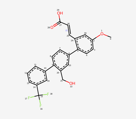 COc1ccc(-c2ccc(-c3cccc(C(F)(F)F)c3)c(CO)c2)c(/C=C/C(=O)O)c1